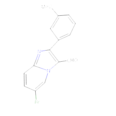 COc1cccc(-c2nc3ccc(Br)cn3c2C=O)c1